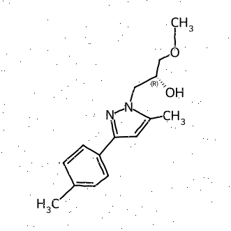 COC[C@H](O)Cn1nc(-c2c[c]c(C)cc2)cc1C